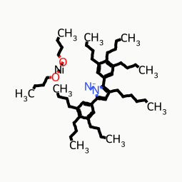 CCCCCCC1=C(c2cc(CCCC)c(CCCC)c(CCCC)c2)[N+](=[N-])C(c2cc(CCCC)c(CCCC)c(CCCC)c2)=C1.CCCC[O][Ni][O]CCCC